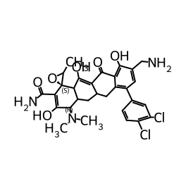 CC1O[C@@]12C(C(N)=O)=C(O)[C@H](N(C)C)C1CC3Cc4c(-c5ccc(Cl)c(Cl)c5)cc(CN)c(O)c4C(=O)C3=C(O)C12